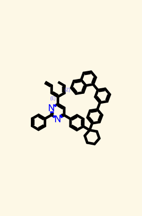 C=C/C=C(\C=C/C)c1cc(-c2ccc(C3(c4ccc(-c5cccc(-c6cccc7ccccc67)c5)cc4)CCCCC3)cc2)nc(-c2ccccc2)n1